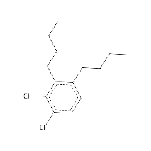 CCCCc1ccc(Cl)c(Cl)c1CCCC